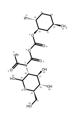 CCCC(=O)N(C(=O)OC(=O)O[C@@H]1C[C@H](C)CC[C@H]1C(C)C)[C@H]1C(O)O[C@H](CO)[C@@H](O)[C@@H]1O